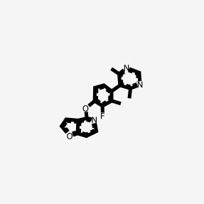 Cc1ncnc(C)c1-c1ccc(Oc2nccc3occc23)c(F)c1C